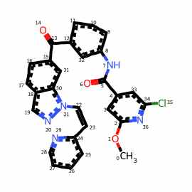 COc1cc(C(=O)Nc2cccc(C(=O)c3ccc4cnn(C=Cc5ccccn5)c4c3)c2)cc(Cl)n1